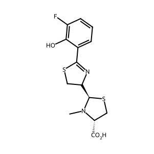 CN1[C@@H](C(=O)O)CS[C@@H]1C1CSC(c2cccc(F)c2O)=N1